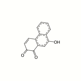 O=C1C=Cc2c(cc(O)c3ccccc23)C1=O